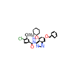 COc1cc(C(=O)Nc2ncnc3cc(OCc4ccccc4)cc(OC4CCCCC4)c23)ccc1Cl